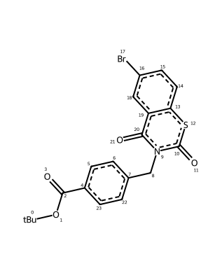 CC(C)(C)OC(=O)c1ccc(Cn2c(=O)sc3ccc(Br)cc3c2=O)cc1